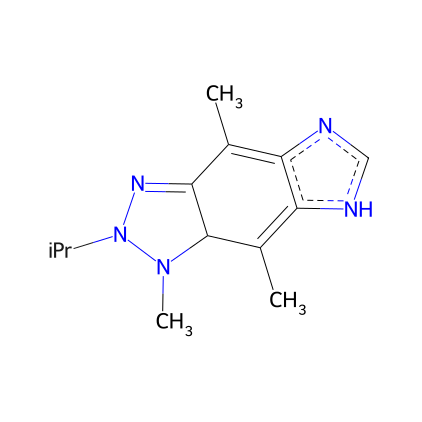 CC1=c2nc[nH]c2=C(C)C2C1=NN(C(C)C)N2C